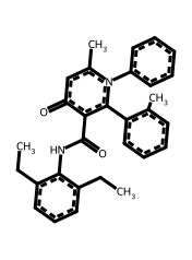 CCc1cccc(CC)c1NC(=O)c1c(-c2ccccc2C)n(-c2ccccc2)c(C)cc1=O